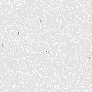 CB(c1c(C(C)C)cc([Si](C)(C)C)cc1C(C)C)c1c(C(C)C)cc([Si](C)(C)C)cc1C(C)C